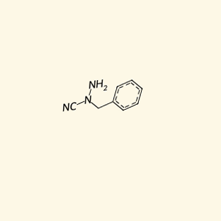 N#CN(N)Cc1ccccc1